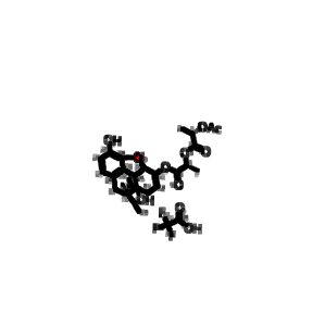 CC(=O)O[C@@H](C)C(=O)O[C@@H](C)C(=O)OC1=CC[C@]2(O)C3Cc4ccc(O)c5c4[C@@]2(CCN3C)[C@H]1O5.O=C(O)C(F)(F)F